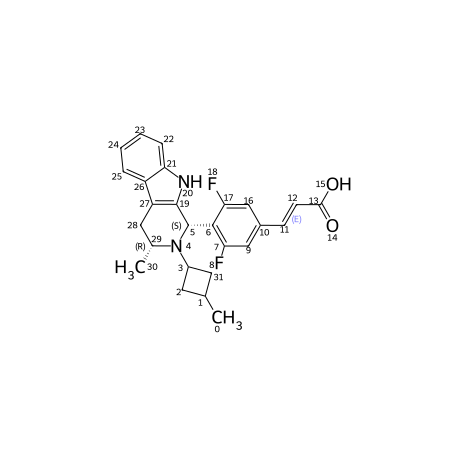 CC1CC(N2[C@@H](c3c(F)cc(/C=C/C(=O)O)cc3F)c3[nH]c4ccccc4c3C[C@H]2C)C1